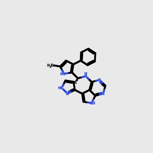 Cc1cc(-c2ccccc2)c([C@H](C)Nc2ncnc3[nH]cc(-c4cc[nH]n4)c23)[nH]1